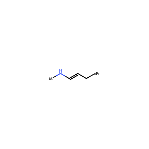 CCCCC=CNCC